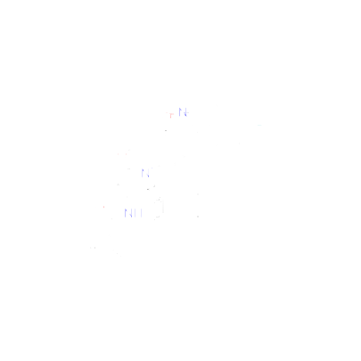 O=C(NC1CC(=O)N(c2ccc3c(-c4ccc(F)cc4)noc3c2)C1c1ccccc1)C1CC1